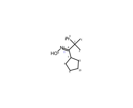 CC(C)C(C)(C)/C(=N/O)C1CCCC1